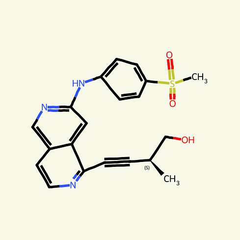 C[C@@H](C#Cc1nccc2cnc(Nc3ccc(S(C)(=O)=O)cc3)cc12)CO